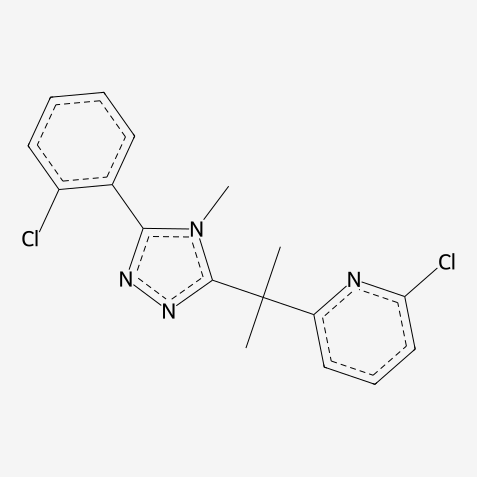 Cn1c(-c2ccccc2Cl)nnc1C(C)(C)c1cccc(Cl)n1